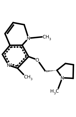 Cc1ncc2c(c1OC[C@@H]1CCCN1C)N(C)CC=C2